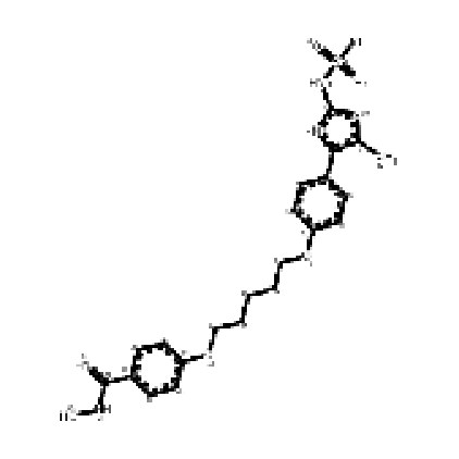 CCS(=O)(=O)Nc1nc(-c2ccc(OCCCCCOc3ccc(C(=N)NO)cc3)cc2)c(C)s1